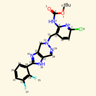 CC(C)(C)OC(=O)Nc1nc(Cl)ccc1CN1Cc2nc(-c3cccc(F)c3F)[nH]c2C=N1